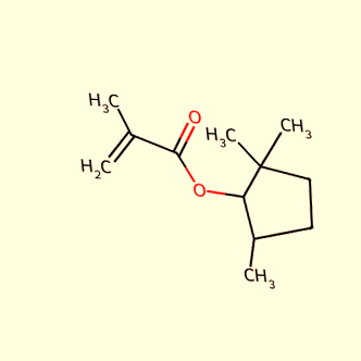 C=C(C)C(=O)OC1C(C)CCC1(C)C